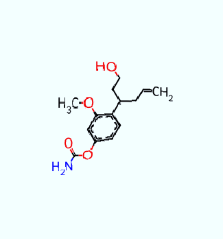 C=CC[C](CCO)c1ccc(OC(N)=O)cc1OC